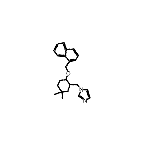 CC1(C)CCC(OCc2cccc3ccccc23)C(Cn2ccnc2)C1